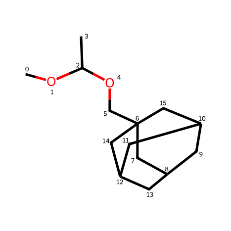 COC(C)OCC12CC3CC(CC(C3)C1)C2